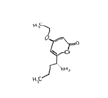 CCC[C@@H](N)c1cc(OCC)cc(=O)o1